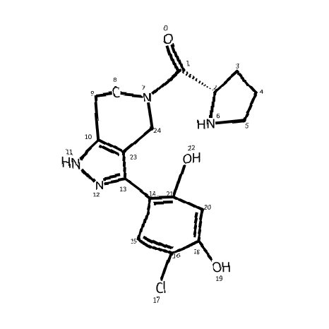 O=C([C@@H]1CCCN1)N1CCc2[nH]nc(-c3cc(Cl)c(O)cc3O)c2C1